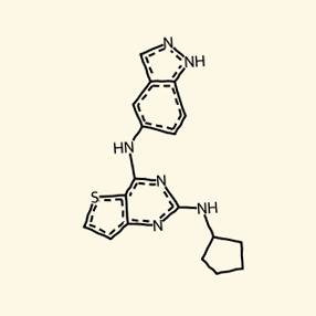 c1cc2nc(NC3CCCC3)nc(Nc3ccc4[nH]ncc4c3)c2s1